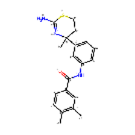 Cc1ccc(C(=O)Nc2cccc(C3(C)CCSC(N)=N3)c2)cc1C